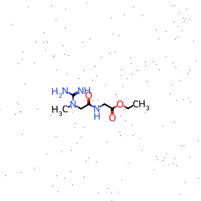 CCOC(=O)CNC(=O)CN(C)C(=N)N